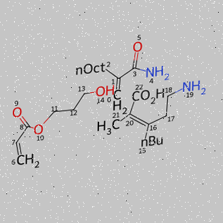 C=C(CCCCCCCC)C(N)=O.C=CC(=O)OCCCO.CCCCC(CCN)=C(C)C(=O)O